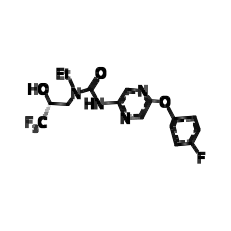 CCN(C[C@@H](O)C(F)(F)F)C(=O)Nc1cnc(Oc2ccc(F)cc2)cn1